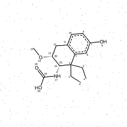 CCC1(CC)c2cc(O)ccc2C[C@@H](OC)[C@H]1NC(=O)O